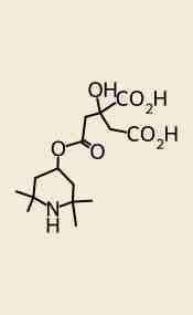 CC1(C)CC(OC(=O)CC(O)(CC(=O)O)C(=O)O)CC(C)(C)N1